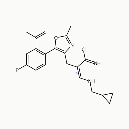 C=C(C)c1cc(F)ccc1-c1oc(C)nc1C/C(=C/NCC1CC1)C(=N)Cl